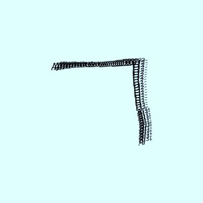 [Al+3].[Al+3].[Al+3].[Al+3].[Al+3].[Al+3].[Al+3].[Al+3].[Al+3].[Al+3].[Al+3].[Al+3].[Al+3].[Al+3].[Al+3].[Al+3].[Al+3].[Al+3].[Al+3].[Al+3].[Al+3].[Al+3].[Al+3].[Al+3].[Al+3].[O-2].[O-2].[O-2].[O-2].[O-2].[O-2].[O-2].[O-2].[O-2].[O-2].[O-2].[O-2].[O-2].[O-2].[O-2].[O-2].[O-2].[O-2].[O-2].[O-2].[O-2].[O-2].[O-2].[O-2].[O-2].[O-2].[O-2].[O-2].[O-2].[O-2].[O-2].[O-2].[O-2].[O-2].[O-2].[O-2].[O-2].[O-2].[O-2].[O-2]